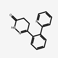 O=C1CCC(c2ccccc2-c2ccccn2)=NN1